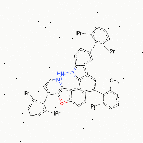 Cc1cccc(C(C)C)c1-c1cc2c3cc(-c4c(C(C)C)cccc4C(C)C)ccc3n3[nH][n+]4ccc(-c5c(C(C)C)cccc5C(C)C)c5oc6ccc1c(c6c54)c23